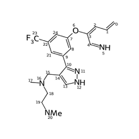 C=C/C=C(\C=N)Oc1cc(-c2n[nH]cc2CN(C)CCNC)cc(C(F)(F)F)c1